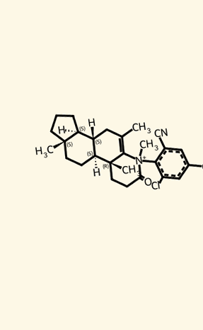 CC1=C2[C@](C)(CCC(=O)[N+]2(C)c2c(Cl)cc(Cl)cc2C#N)[C@H]2CC[C@]3(C)CCC[C@H]3[C@@H]2C1